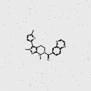 Cc1ccc(-c2c3c(nn2C)[C@H](C)N(C(=O)c2ccc4nccnc4c2)CC3)o1